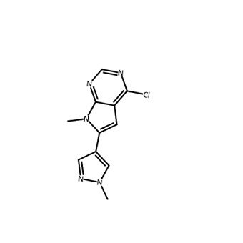 Cn1cc(-c2cc3c(Cl)ncnc3n2C)cn1